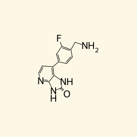 NCc1ccc(-c2ccnc3[nH]c(=O)[nH]c23)cc1F